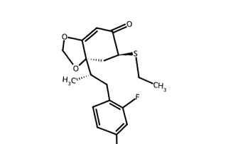 CCS[C@H]1C[C@]2([C@@H](C)Cc3ccc(C)cc3F)OCOC2=CC1=O